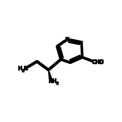 NC[C@@H](N)c1cncc(C=O)c1